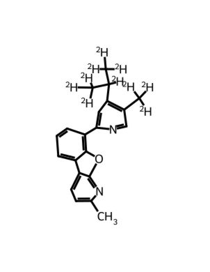 [2H]C([2H])([2H])c1cnc(-c2cccc3c2oc2nc(C)ccc23)cc1C([2H])(C([2H])([2H])[2H])C([2H])([2H])[2H]